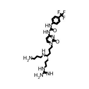 N=C(N)NCCC[C@@H](CCCn1ccc(NC(=O)Nc2ccc(C(F)(F)F)cc2)nc1=O)NCCCN